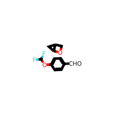 C1OC2CC12.O=Cc1ccc(OC(F)F)cc1